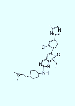 CCn1c(=O)c(-c2ccc(-c3cncc(C)n3)cc2Cl)cc2cnc(NC3CCC(CCN(C)C)CC3)nc21